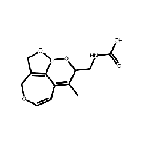 CC1=C2C=COCC3=C2B(OC3)OC1CNC(=O)O